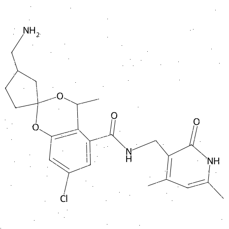 Cc1cc(C)c(CNC(=O)c2cc(Cl)cc3c2C(C)OC2(CCC(CN)C2)O3)c(=O)[nH]1